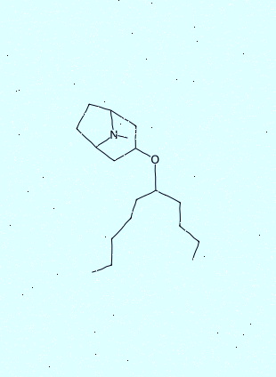 CCCCCC(CCCC)OC1CC2CCC(C1)N2C